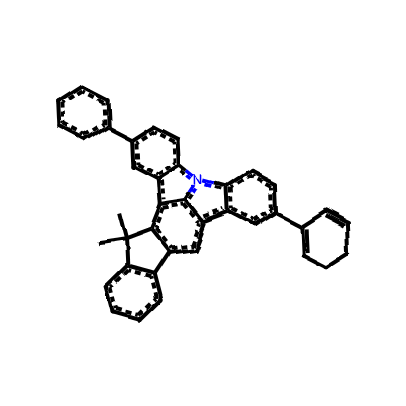 CC1(C)c2ccccc2-c2cc3c4cc(C5=CCCC=C5)ccc4n4c5ccc(-c6ccccc6)cc5c(c21)c34